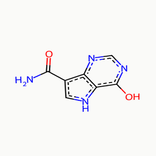 NC(=O)c1c[nH]c2c(O)ncnc12